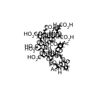 CC(=O)c1ccc(C[C@H](NC(=O)[C@@H](CCC(=O)O)NC(=O)[C@@H](CCC(=O)O)NC(=O)[C@@H](CCC(=O)O)NC(=O)[C@@H](CCC(=O)O)NC(=O)[C@@H](CCC(=O)O)NC(=O)[C@@H](CCC(=O)O)NC(=O)[C@@H](CCC(=O)O)NC(=O)[C@@H](CCC(=O)O)NC(=O)[C@H](N)CCC(=O)O)C(=O)NCCOCC(=O)N2CCC[C@H]2C(=O)N[C@@H](CC(C)C)C(C)=O)cc1